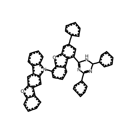 c1ccc(C2=NC(c3ccccc3)NC(c3cc(-c4ccccc4)cc4oc5c(-n6c7ccccc7c7cc8oc9ccccc9c8cc76)cccc5c34)=N2)cc1